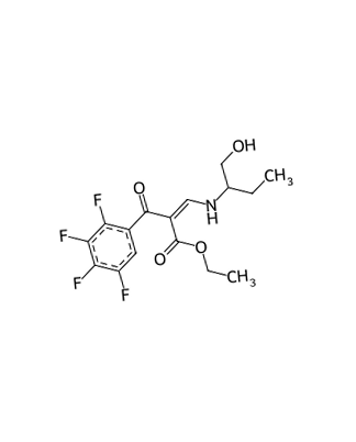 CCOC(=O)/C(=C\NC(CC)CO)C(=O)c1cc(F)c(F)c(F)c1F